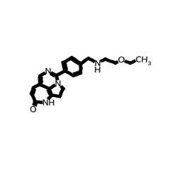 CCOCCNCc1ccc(C2=NC=C3C=CC(=O)NC4=C3N2CC4)cc1